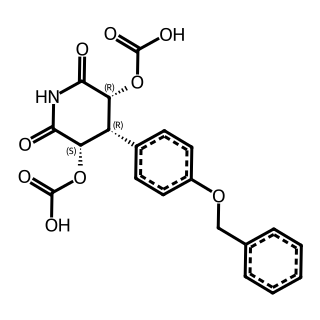 O=C(O)O[C@@H]1C(=O)NC(=O)[C@H](OC(=O)O)[C@@H]1c1ccc(OCc2ccccc2)cc1